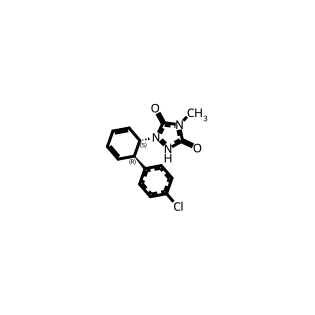 Cn1c(=O)[nH]n([C@H]2C=CC=C[C@@H]2c2ccc(Cl)cc2)c1=O